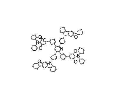 c1cc(-c2cc3c4c(c2)Oc2ccccc2B4c2ccccc2O3)cc(-c2cc(-c3ccc(-n4c5ccccc5c5cc6c(cc54)oc4ccccc46)cc3)c(-c3cccc(-c4cc5c6c(c4)Oc4ccccc4B6c4ccccc4O5)c3)nc2-c2ccc(C3c4ccccc4-c4cc5c(cc43)oc3ccccc35)cc2)c1